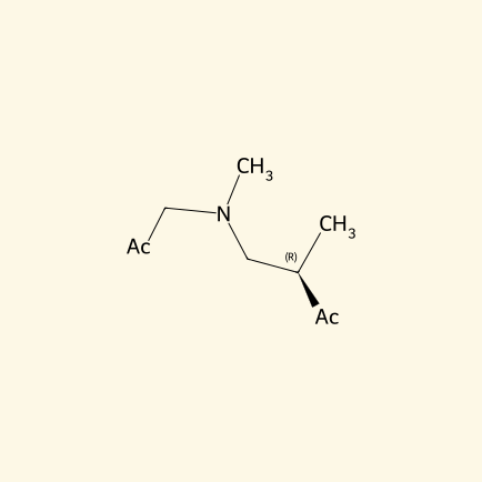 CC(=O)CN(C)C[C@@H](C)C(C)=O